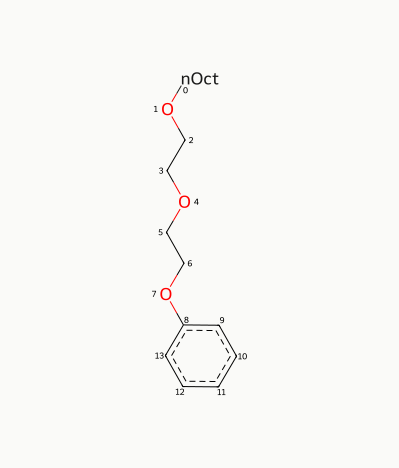 CCCCCCCCOCCOCCOc1ccccc1